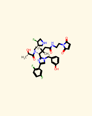 C[C@H](O)C(=O)N(C[C@@H]1CNC[C@@H]1F)[C@@H](c1nc(-c2cc(F)ccc2F)cn1Cc1cccc(O)c1)C(C)(C)CC(=O)NCCN1C(=O)C=CC1=O